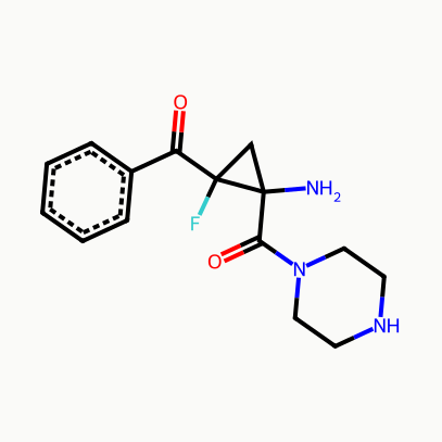 NC1(C(=O)N2CCNCC2)CC1(F)C(=O)c1ccccc1